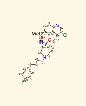 COc1ccc2ncc(Cl)c(CCCC3(C(=O)NO)CCN(CCCCc4ccc(F)cc4)CC3)c2c1